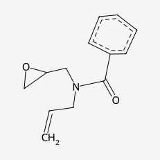 C=CCN(CC1CO1)C(=O)c1ccccc1